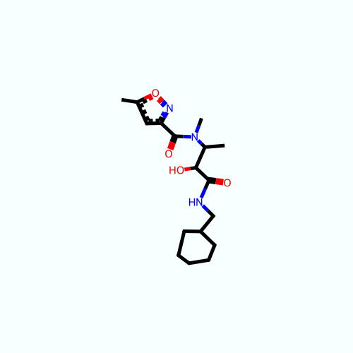 Cc1cc(C(=O)N(C)C(C)C(O)C(=O)NCC2CCCCC2)no1